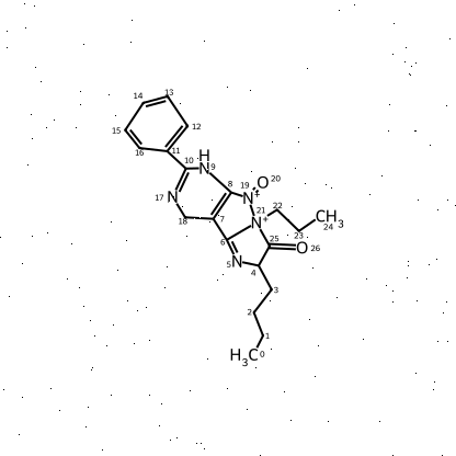 CCCCC1N=C2C3=C(NC(c4ccccc4)=NC3)[N+](=O)[N+]2(CCC)C1=O